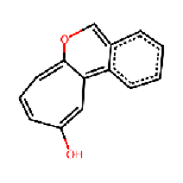 OC1=CC2=c3ccccc3=COC2=CC=C1